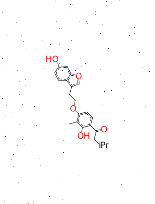 Cc1c(OCCc2coc3cc(O)ccc23)ccc(C(=O)CC(C)C)c1O